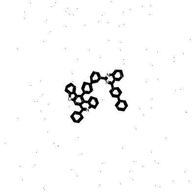 c1ccc(-c2ccc(-c3nc(-c4cccc(-c5ccc(-c6c7c(cc8c(-c9ccccc9)nc9ccccc9c68)oc6ccccc67)cc5)c4)nc4ccccc34)cc2)cc1